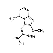 COc1nc2cccc(C)n2c1C=C(C#N)C(=O)O